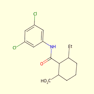 CCC1CCCC(C(=O)O)C1C(=O)Nc1cc(Cl)cc(Cl)c1